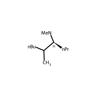 CCCCC(C)[C@H](CCC)NC